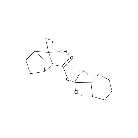 CC(C)(OC(=O)C1C2CCC(C2)C1(C)C)C1CCCCC1